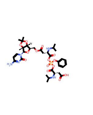 CC(C)N[C@@H](CC(=O)O)C(=O)OP(=O)(OC(=O)[C@H](CC(=O)OC[C@H]1O[C@@H](n2ccc(N)nc2=O)[C@]2(C)OC(C)(C)O[C@H]12)NC(C)C)Oc1ccccc1